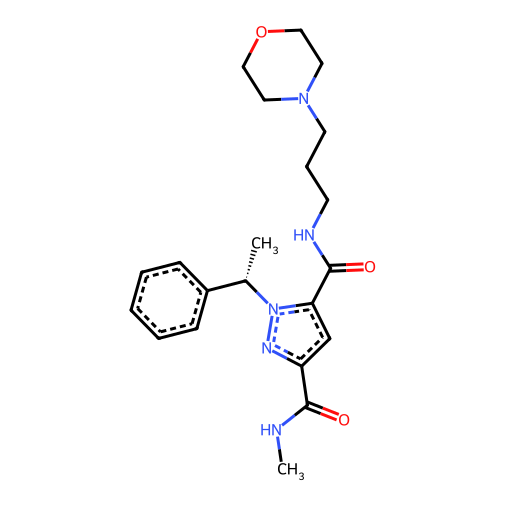 CNC(=O)c1cc(C(=O)NCCCN2CCOCC2)n([C@@H](C)c2ccccc2)n1